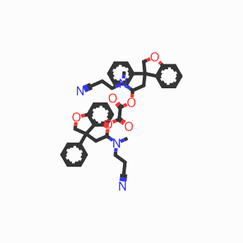 CN(CCC#N)C(CC1(c2ccccc2)COc2ccccc21)OC(=O)C(=O)OC(CC1(c2ccccc2)COc2ccccc21)N(C)CCC#N